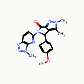 CCCOc1ccc(C2c3c(nn(C)c3C)C(=O)N2c2ccc3nnn(C)c3n2)cc1